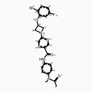 CC(=O)N(C)c1ccc(NC(=O)c2cnc(N3CC(Oc4cc(F)ccc4Br)C3)cn2)cc1